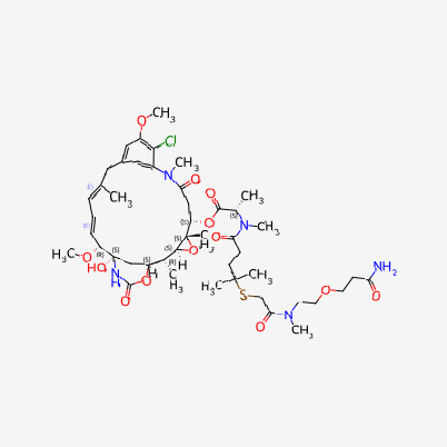 COc1cc2cc(c1Cl)N(C)C(=O)C[C@H](OC(=O)[C@H](C)N(C)C(=O)CCC(C)(C)SCC(=O)N(C)CCOCCC(N)=O)[C@]1(C)O[C@H]1[C@H](C)[C@@H]1C[C@@](O)(NC(=O)O1)[C@H](OC)/C=C/C=C(\C)C2